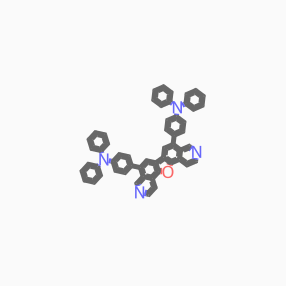 c1ccc(N(c2ccccc2)c2ccc(-c3cc4c5cc(-c6ccc(N(c7ccccc7)c7ccccc7)cc6)c6cnccc6c5oc4c4ccncc34)cc2)cc1